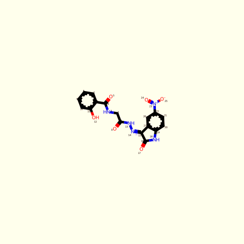 O=C(CNC(=O)c1ccccc1O)N/N=C1/C(=O)Nc2ccc([N+](=O)[O-])cc21